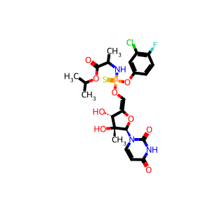 CC(C)OC(=O)C(C)NP(=S)(O/C=C1/O[C@@H](n2ccc(=O)[nH]c2=O)[C@](C)(O)[C@@H]1O)Oc1ccc(F)c(Cl)c1